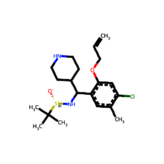 C=CCOc1cc(Cl)c(C)cc1C(N[S@@+]([O-])C(C)(C)C)C1CCNCC1